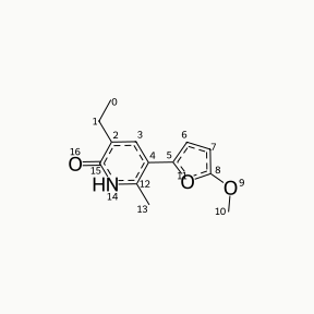 CCc1cc(-c2ccc(OC)o2)c(C)[nH]c1=O